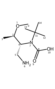 CO[C@H](C)[C@@H](CN)N(C(=O)O)C(C)(C)C